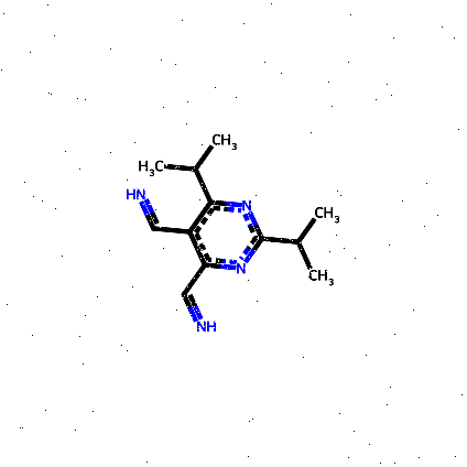 CC(C)c1nc(C=N)c(C=N)c(C(C)C)n1